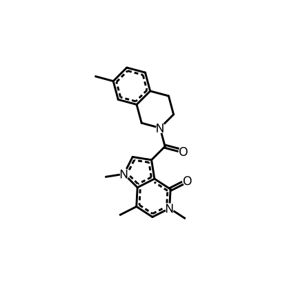 Cc1ccc2c(c1)CN(C(=O)c1cn(C)c3c(C)cn(C)c(=O)c13)CC2